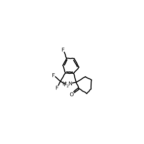 NC1(c2ccc(F)cc2C(F)(F)F)CCCCC1=O